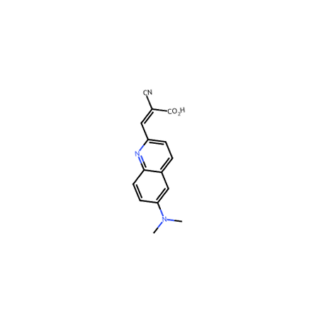 CN(C)c1ccc2nc(C=C(C#N)C(=O)O)ccc2c1